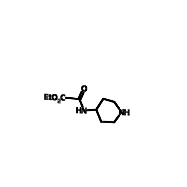 CCOC(=O)C(=O)NC1CCNCC1